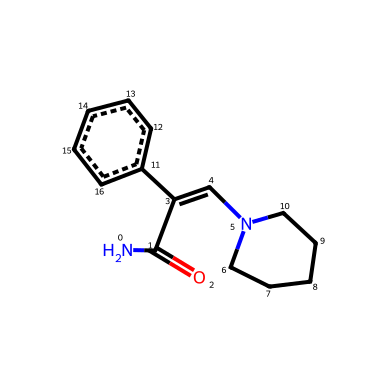 NC(=O)/C(=C\N1CCCCC1)c1ccccc1